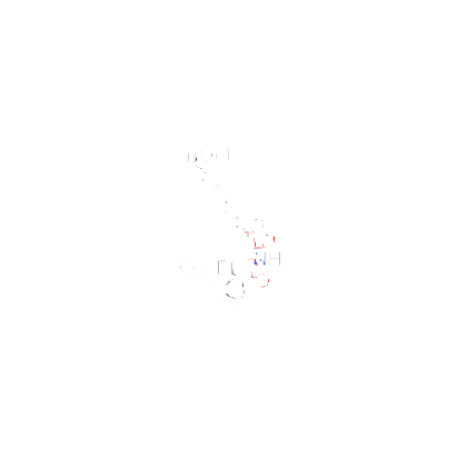 CCCCCCCCC=CCCCCCCCC(=O)OC(=O)NOC(=O)c1ccccc1C(=O)OCC